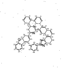 C1=CCCC(C2=CC=CCC2C2CC(C3=CC=C4c5ccccc5OC4C3)=NC(C3=CC4C5=C(C=CC4C=C3)CCc3nn(-c4ccccc4)nc35)=N2)=C1